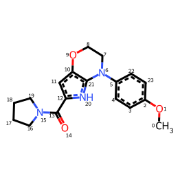 COc1ccc(N2CCOc3cc(C(=O)N4CCCC4)[nH]c32)cc1